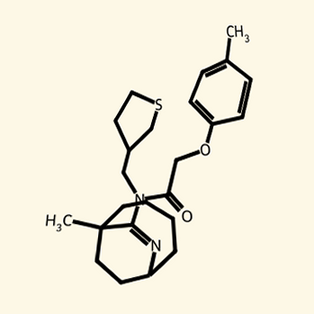 Cc1ccc(OCC(=O)N(CC2CCSC2)C2=NC3CCCCC2(C)CC3)cc1